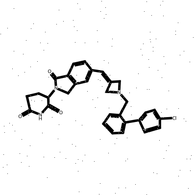 O=C1CCC(N2Cc3cc(C=C4CN(Cc5ccccc5-c5ccc(Cl)cc5)C4)ccc3C2=O)C(=O)N1